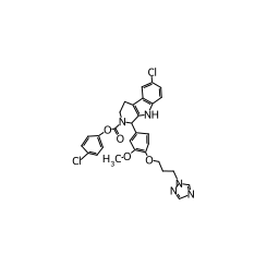 COc1cc(C2c3[nH]c4ccc(Cl)cc4c3CCN2C(=O)Oc2ccc(Cl)cc2)ccc1OCCCn1cncn1